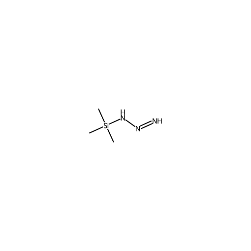 C[Si](C)(C)NN=N